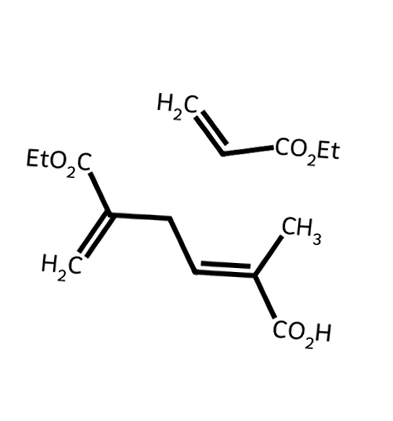 C=C(CC=C(C)C(=O)O)C(=O)OCC.C=CC(=O)OCC